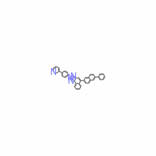 c1ccc(-c2ccc3cc(-c4cc5nn(-c6ccc(-c7cccnc7)cc6)nc5c5ccccc45)ccc3c2)cc1